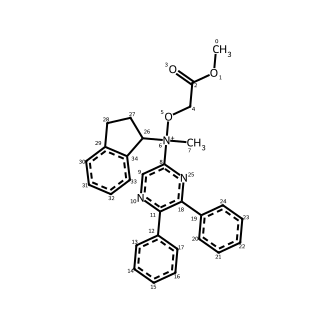 COC(=O)CO[N+](C)(c1cnc(-c2ccccc2)c(-c2ccccc2)n1)C1CCc2ccccc21